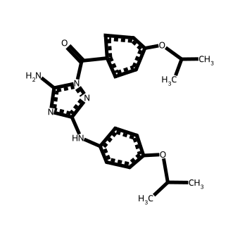 CC(C)Oc1ccc(Nc2nc(N)n(C(=O)c3ccc(OC(C)C)cc3)n2)cc1